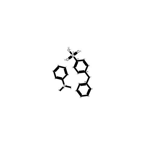 C[S+](C)c1ccccc1.O=S(=O)([O-])c1ccc(Cc2ccccc2)cc1